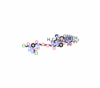 CC[C@H](C)[C@@H]([C@@H](CC(=O)N1CCC[C@H]1[C@H](OC)[C@@H](C)C(=O)N[C@H](Cc1ccccc1)C(=O)NCCOCCOCCNC(=O)c1ccc(NC(=O)CCl)c(NC(=O)CCl)c1)OC)N(C)C(=O)[C@H](NC(=O)[C@H](C(C)C)N(C)C)C(C)C